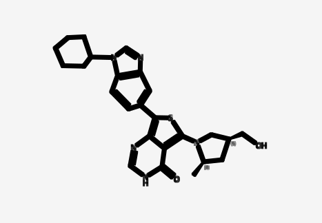 C[C@@H]1C[C@H](CO)CN1c1sc(-c2ccc3c(c2)ncn3C2CCCCC2)c2nc[nH]c(=O)c12